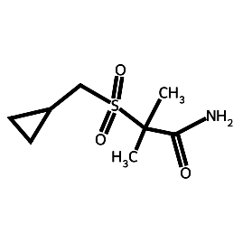 CC(C)(C(N)=O)S(=O)(=O)CC1CC1